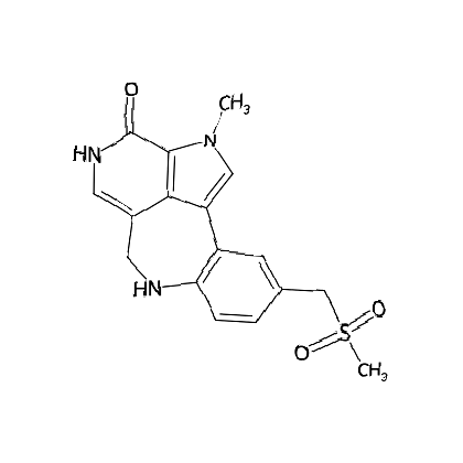 Cn1cc2c3c(c[nH]c(=O)c31)CNc1ccc(CS(C)(=O)=O)cc1-2